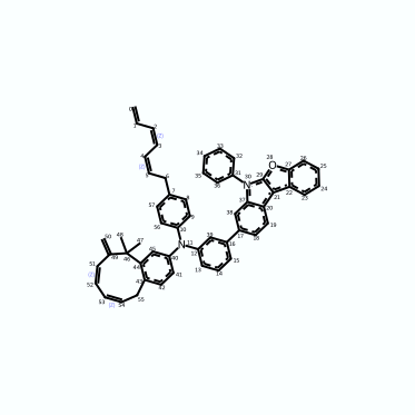 C=C/C=C\C=C/Cc1ccc(N(c2cccc(-c3ccc4c5c6ccccc6oc5n(-c5ccccc5)c4c3)c2)c2ccc3c(c2)C(C)(C)C(=C)/C=C\C=C/C3)cc1